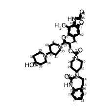 Cc1cc(C[C@@H](OC(=O)N2CCC(N3CCc4ccccc4NC3=O)CC2)C(=O)N2CCC(N3CCC(O)CC3)CC2)cc2oc(=O)[nH]c12